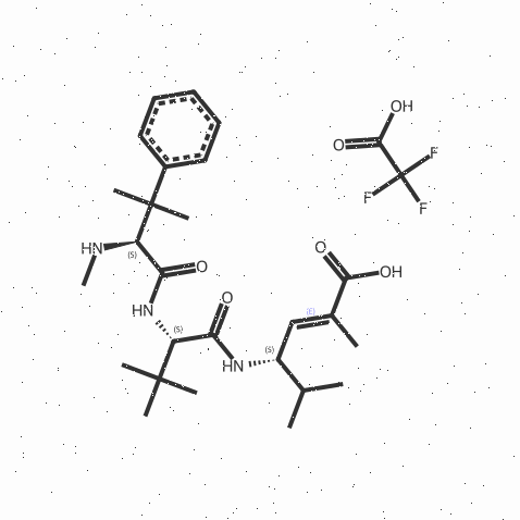 CN[C@H](C(=O)N[C@H](C(=O)N[C@H](/C=C(\C)C(=O)O)C(C)C)C(C)(C)C)C(C)(C)c1ccccc1.O=C(O)C(F)(F)F